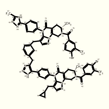 C[C@H]1Cc2c(n3ncc(Cc4cccc(Cc5nn[nH]c5-c5ccc(-n6c(=O)c7c(n8ncc(CC9CC9)c68)CN(C(=O)c6ccc(Br)c(C(F)(F)F)c6)[C@@H](C)C7)cc5)c4)c3n(-c3ccc(-c4nnc(C(F)(F)F)[nH]4)cc3)c2=O)CN1C(=O)c1ccc(Br)c(C(F)(F)F)c1